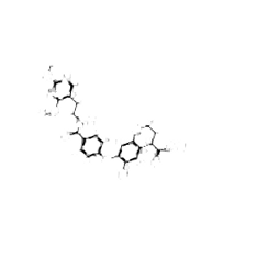 COc1ncc(CCNC(=O)c2ccc(Oc3cc4c(cc3Cl)C(C(=O)O)CCO4)cc2)c(OC)n1